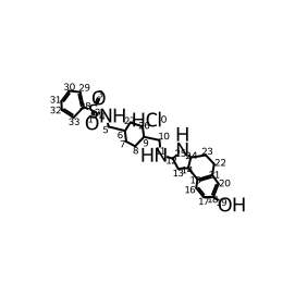 Cl.O=S(=O)(NCC1CCC(CNC2CC3c4ccc(O)cc4CCC3N2)CC1)c1ccccc1